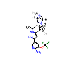 CC(C)N/C(=C\C(=N)c1cnc(N)c(OC(F)(F)F)c1)[C@]12C3[C@@H](N4C[C@@H]5C[C@H]4CN5C)C[C@@H]1[C@H]32